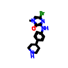 Cn1cc(Br)nc(Nc2ccc(C3CCNCC3)cc2)c1=O